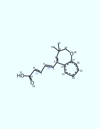 CC1(C)C=C(/C=C/C=C/C(=O)O)c2ccccc2OC1